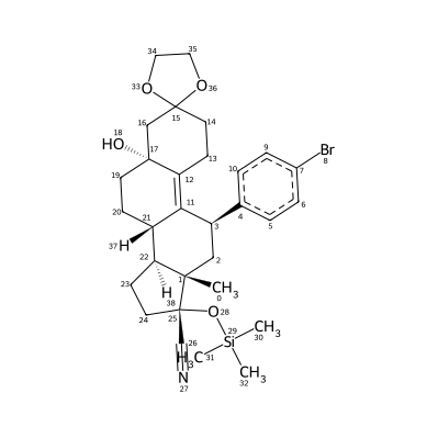 C[C@]12C[C@H](c3ccc(Br)cc3)C3=C4CCC5(C[C@]4(O)CC[C@H]3[C@@H]1CC[C@@]2(C#N)O[Si](C)(C)C)OCCO5